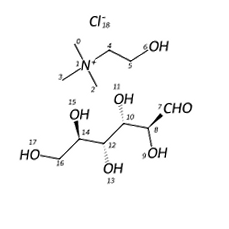 C[N+](C)(C)CCO.O=C[C@@H](O)[C@@H](O)[C@H](O)[C@H](O)CO.[Cl-]